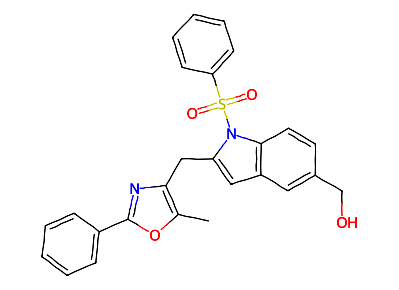 Cc1oc(-c2ccccc2)nc1Cc1cc2cc(CO)ccc2n1S(=O)(=O)c1ccccc1